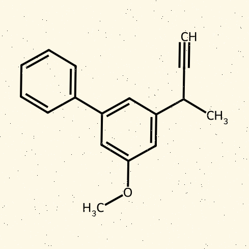 C#CC(C)c1cc(OC)cc(-c2ccccc2)c1